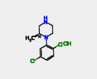 C[C@H]1CNCCN1c1cc(Cl)ccc1Cl.Cl